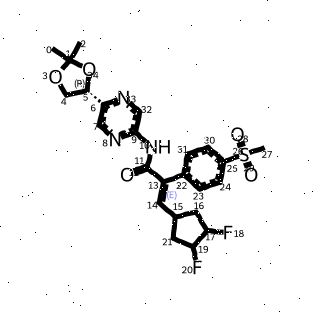 CC1(C)OC[C@@H](c2cnc(NC(=O)/C(=C/C3CC(F)C(F)C3)c3ccc(S(C)(=O)=O)cc3)cn2)O1